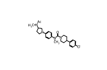 CC(=O)N(C)C1CCN(c2ccc(N(C)C(=O)N3CCC(c4ccc(Cl)cc4)CC3)cc2)C1